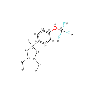 CCCCC(C)(CCCC)c1ccc(OC(F)(F)F)cc1